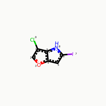 Clc1coc2cc(I)[nH]c12